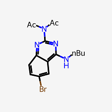 CCCCNc1nc(N(C(C)=O)C(C)=O)nc2ccc(Br)cc12